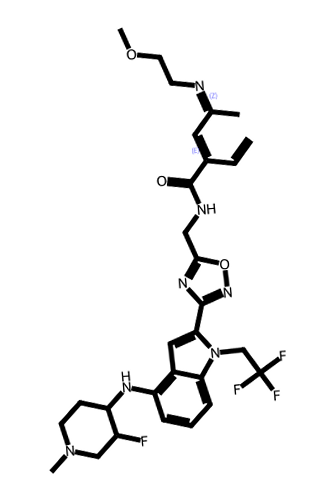 C=C/C(=C\C(C)=N/CCOC)C(=O)NCc1nc(-c2cc3c(NC4CCN(C)CC4F)cccc3n2CC(F)(F)F)no1